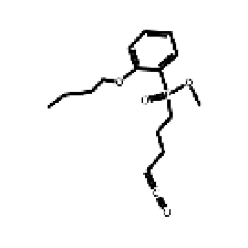 CCCCOc1ccccc1P(=O)(CCCC=C=O)OC